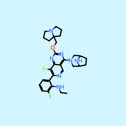 CCNc1c(F)cccc1-c1ncc2c(N3CC4CCC(C3)N4)nc(OCC34CCCN3CCC4)nc2c1F